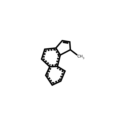 CC1C=Cc2ccc3ccccc3c21